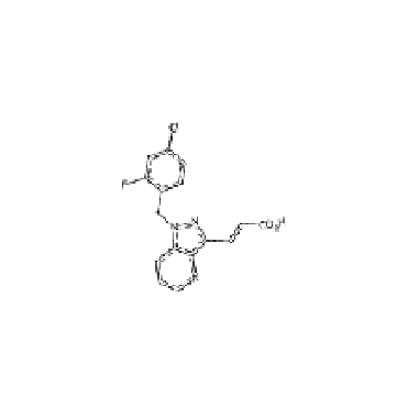 O=C(O)C=Cc1nn(Cc2ccc(Cl)cc2F)c2cccnc12